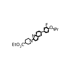 CCOC(=O)C1CCN(c2ccc3cc(-c4ccc(OC(C)C)c(F)c4)ccc3n2)CC1